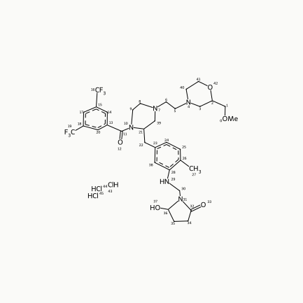 COCC1CN(CCN2CCN(C(=O)c3cc(C(F)(F)F)cc(C(F)(F)F)c3)C(Cc3ccc(C)c(NCN4C(=O)CCC4O)c3)C2)CCO1.Cl.Cl.Cl